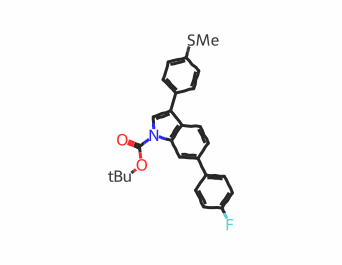 CSc1ccc(-c2cn(C(=O)OC(C)(C)C)c3cc(-c4ccc(F)cc4)ccc23)cc1